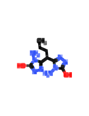 CCCC(c1nnc(O)n1N)c1nnc(O)n1N